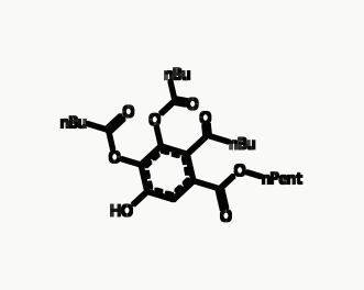 CCCCCOC(=O)c1cc(O)c(OC(=O)CCCC)c(OC(=O)CCCC)c1C(=O)CCCC